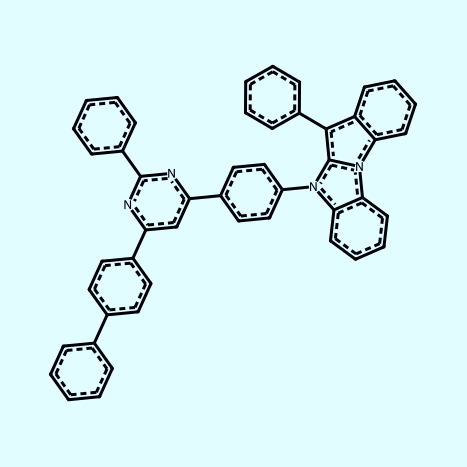 c1ccc(-c2ccc(-c3cc(-c4ccc(-n5c6ccccc6n6c7ccccc7c(-c7ccccc7)c56)cc4)nc(-c4ccccc4)n3)cc2)cc1